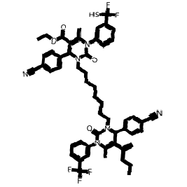 C=C(CCC)C1=C(C)N(c2cccc(C(F)(F)F)c2)C(=O)N(CCCCCCCCN2C(=O)N(c3cccc(C(F)(F)S)c3)C(C)=C(C(=O)OCC)C2c2ccc(C#N)cc2)C1c1ccc(C#N)cc1